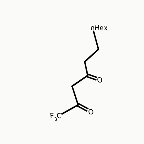 CCCCCCCCC(=O)CC(=O)C(F)(F)F